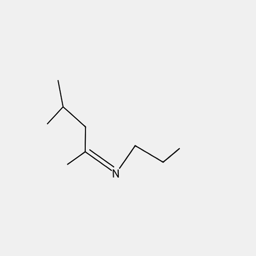 CCCN=C(C)CC(C)C